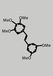 COc1cc(C=Cc2cc(OC)c(OC)c(OC)c2)cc(OC)c1